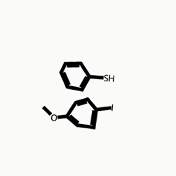 COc1ccc(I)cc1.Sc1ccccc1